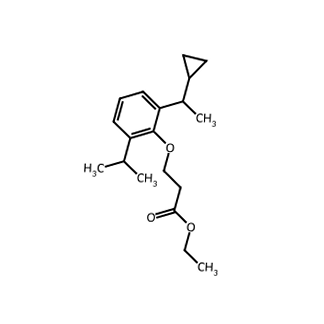 CCOC(=O)CCOc1c(C(C)C)cccc1C(C)C1CC1